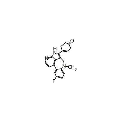 CN1Cc2c(C3=CCC(=O)CC3)[nH]c3nccc(c23)-c2cc(F)ccc21